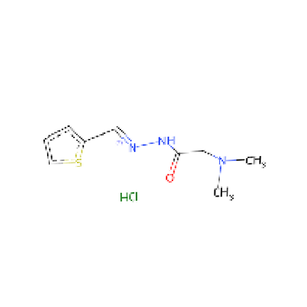 CN(C)CC(=O)N/N=C/c1cccs1.Cl